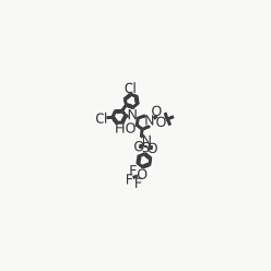 CC(C)(C)OC(=O)N1CC(/C=N/S(=O)(=O)c2ccc(OC(F)(F)F)cc2)[C@H](O)[C@@H](n2c3ccc(Cl)cc3c3cc(Cl)ccc32)C1